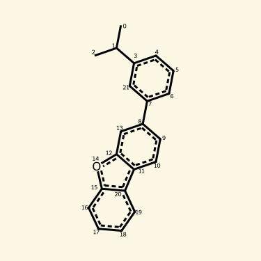 CC(C)c1cccc(-c2ccc3c(c2)oc2ccccc23)c1